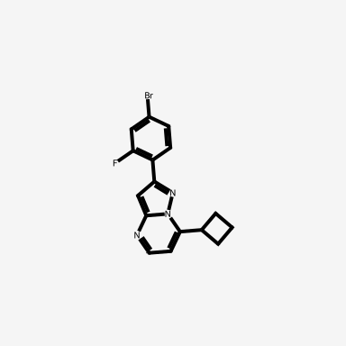 Fc1cc(Br)ccc1-c1cc2n[c]cc(C3CCC3)n2n1